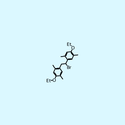 CCOc1cc(C)c(CC(Br)c2cc(C)c(OCC)cc2C)cc1C